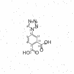 O=C(O)c1ccc(-n2cnnn2)cc1C(=O)O